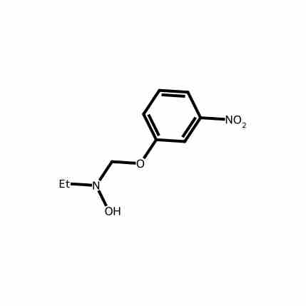 CCN(O)COc1cccc([N+](=O)[O-])c1